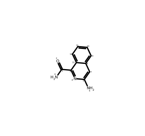 NC(=O)c1nc(N)cc2ccccc12